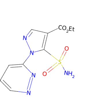 CCOC(=O)c1cnn(-c2cccnn2)c1S(N)(=O)=O